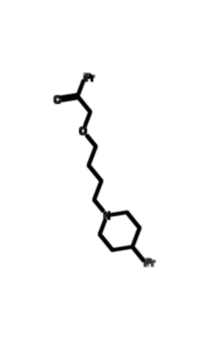 CC(C)C(=O)COCCCCN1CCC(C(C)C)CC1